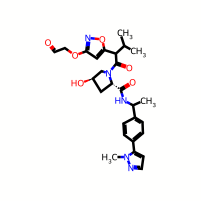 CC(NC(=O)[C@@H]1C[C@@H](O)CN1C(=O)C(c1cc(OCC=O)no1)C(C)C)c1ccc(-c2ccnn2C)cc1